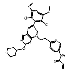 C=CC(=O)Nc1ccc(CCN2CC(c3c(Cl)c(OC)cc(OC)c3Cl)=Cc3cnc(NC4CCOCC4)nc32)nc1